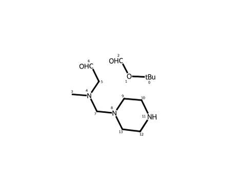 CC(C)(C)OC=O.CN(CC=O)CN1CCNCC1